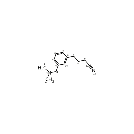 CN(C)Cc1cccc(CCCC#N)c1